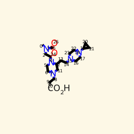 CN1CC(N2CCN(CCC(=O)O)CC2CCN2CCN(C3CC3)CC2)OC1=O